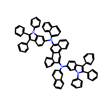 c1ccc(-c2c(-c3ccccc3)n(-c3ccccc3)c3cc(N(c4ccc5ccccc5c4)c4cc5c6ccccc6c(N(c6ccc7c(-c8ccccc8)c(-c8ccccc8)n(-c8ccccc8)c7c6)c6cccc7ccccc67)cc5c5ccccc45)ccc23)cc1